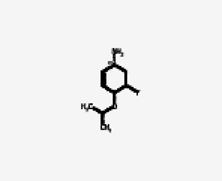 CC(C)OC1C=C[C@H](N)CC1F